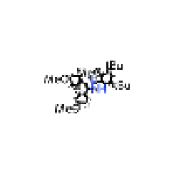 COc1ccc(-c2nc(-c3cc(C(C)(C)C)cc(C(C)(C)C)c3OC)[nH]c2-c2ccc(OC)cc2)cc1